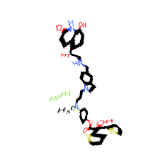 CN(CCCn1ccc2cc(CNC[C@H](O)c3ccc(O)c4[nH]c(=O)ccc34)ccc21)[C@H]1CC[C@H](OC(=O)C(O)(c2cccs2)c2cccs2)CC1.F.F